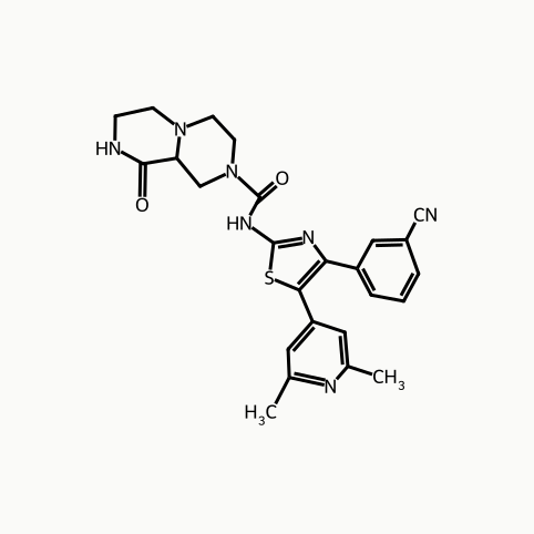 Cc1cc(-c2sc(NC(=O)N3CCN4CCNC(=O)C4C3)nc2-c2cccc(C#N)c2)cc(C)n1